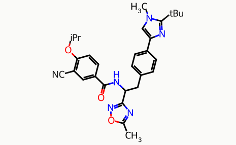 Cc1nc(C(Cc2ccc(-c3cn(C)c(C(C)(C)C)n3)cc2)NC(=O)c2ccc(OC(C)C)c(C#N)c2)no1